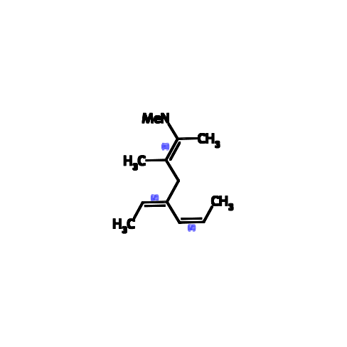 C/C=C\C(=C/C)C/C(C)=C(\C)NC